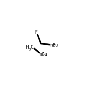 CCCCC.CCCCCF